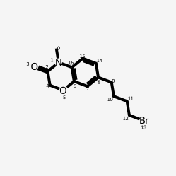 CN1C(=O)COc2cc(CCCCBr)ccc21